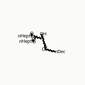 CCCCCCCCCCCCCCCCCC(=O)OCCCCCCN(CCO)CCCCC(COC(=O)CCCCCCC)COC(=O)CCCCCCC